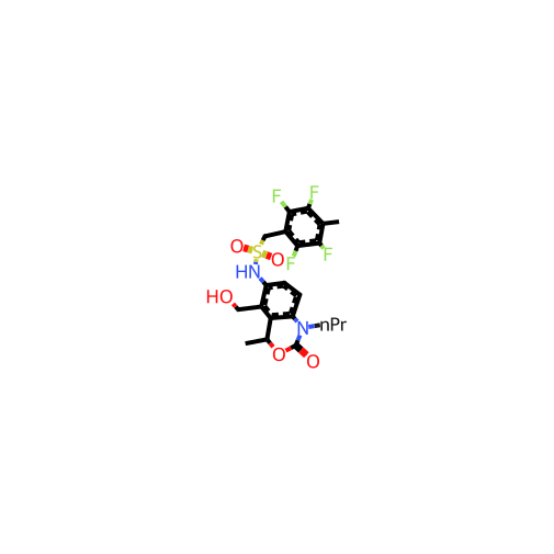 CCCN1C(=O)OC(C)c2c1ccc(NS(=O)(=O)Cc1c(F)c(F)c(C)c(F)c1F)c2CO